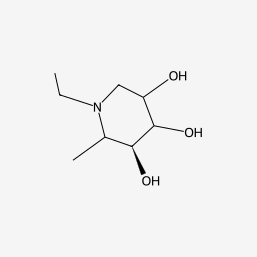 CCN1CC(O)C(O)[C@@H](O)C1C